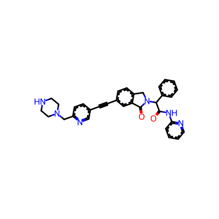 O=C(Nc1ccccn1)C(c1ccccc1)N1Cc2ccc(C#Cc3ccc(CN4CCNCC4)nc3)cc2C1=O